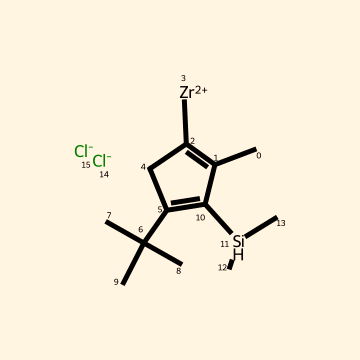 CC1=[C]([Zr+2])CC(C(C)(C)C)=C1[SiH](C)C.[Cl-].[Cl-]